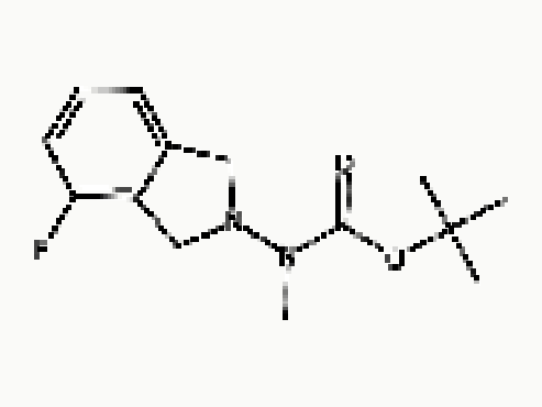 CN(C(=O)OC(C)(C)C)N1Cc2cccc(F)c2C1